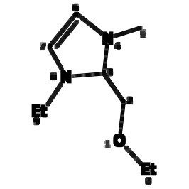 CCOCC1N(C)C=CN1CC